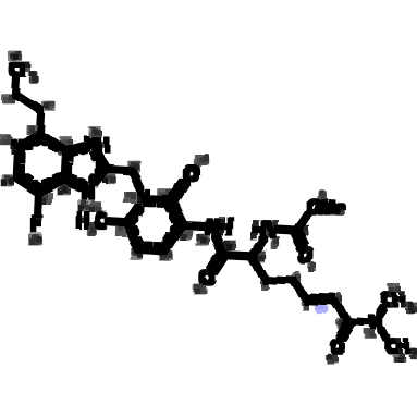 COC(=O)NC(CC/C=C/C(=O)N(C)C)C(=O)Nc1ccc(C)n(Cc2nc3c(F)cnc(CCC(F)(F)F)c3[nH]2)c1=O